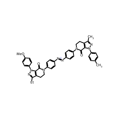 CCc1nn(-c2ccc(OC)cc2)c2c1CCN(c1ccc(/N=N/c3ccc(N4CCc5c(C)nn(-c6ccc(C)cc6)c5C4=O)cc3)cc1)C2=O